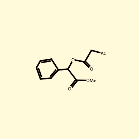 COC(=O)C(OC(=O)CC(C)=O)c1ccccc1